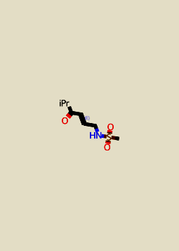 CC(C)C(=O)/C=C/CNS(C)(=O)=O